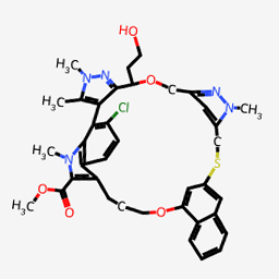 COC(=O)c1c2c3ccc(Cl)c(c3n1C)-c1c(nn(C)c1C)C(CCO)OCc1cc(n(C)n1)CSc1cc(c3ccccc3c1)OCCC2